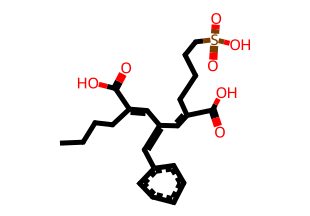 CCCCC(=CC(=Cc1ccccc1)C=C(CCCCS(=O)(=O)O)C(=O)O)C(=O)O